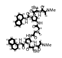 CN[C@@H](C)C(=O)N[C@H](C(=O)N1C[C@@H](NC(=O)CN(C)CC(=O)N[C@H]2C[C@@H](C(=O)N[C@@H]3CCCc4ccccc43)N(C(=O)[C@@H](NC(=O)[C@H](C)NC)C(C)(C)C)C2)C[C@H]1C(=O)N[C@@H]1CCCc2ccccc21)C(C)(C)C